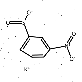 O=[N+]([O-])c1cccc(S(=O)[O-])c1.[K+]